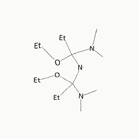 CCOC(CC)([N]C(CC)(OCC)N(C)C)N(C)C